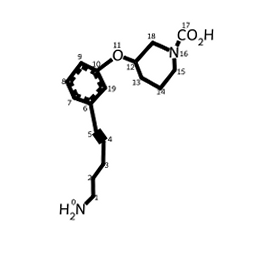 NCCCC#Cc1cccc(OC2CCCN(C(=O)O)C2)c1